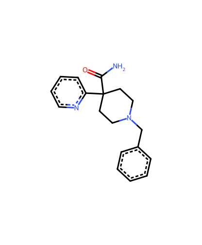 NC(=O)C1(c2ccccn2)CCN(Cc2ccccc2)CC1